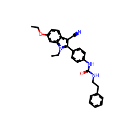 CCOc1ccc2c(C#N)c(-c3ccc(NC(=O)NCCc4ccccc4)cc3)n(CC)c2c1